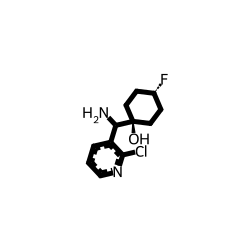 NC(c1cccnc1Cl)[C@]1(O)CC[C@H](F)CC1